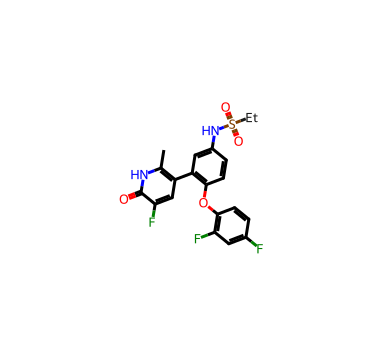 CCS(=O)(=O)Nc1ccc(Oc2ccc(F)cc2F)c(-c2cc(F)c(=O)[nH]c2C)c1